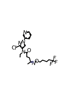 CCN(C(=O)CC/C(C)=N\OCCCCC(F)(F)F)c1cn(-c2cccnc2)nc1Cl